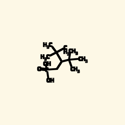 CC(C)(C)C(CP(=O)(O)O)C(C)(C)C